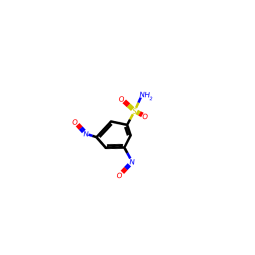 NS(=O)(=O)c1cc(N=O)cc(N=O)c1